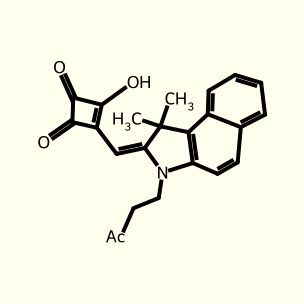 CC(=O)CCN1/C(=C/c2c(O)c(=O)c2=O)C(C)(C)c2c1ccc1ccccc21